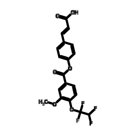 COc1cc(C(=O)Oc2ccc(/C=C/C(=O)O)cc2)ccc1OC(F)(F)C(F)F